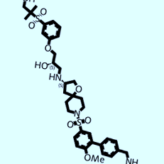 COc1ccc(S(=O)(=O)N2CCC3(CC2)C[C@H](NC[C@H](O)COc2cccc(S(=O)(=O)C(C)(C)CO)c2)CO3)cc1-c1ccc(CN)cc1